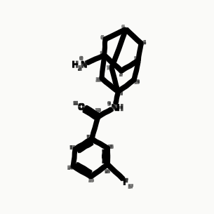 NC12CC3CC(C1)CC(NC(=O)c1cccc(F)c1)(C3)C2